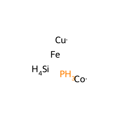 P.[Co].[Cu].[Fe].[SiH4]